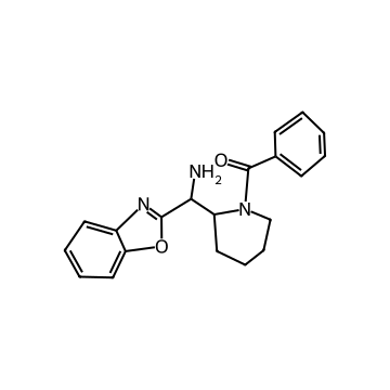 NC(c1nc2ccccc2o1)C1CCCCN1C(=O)c1ccccc1